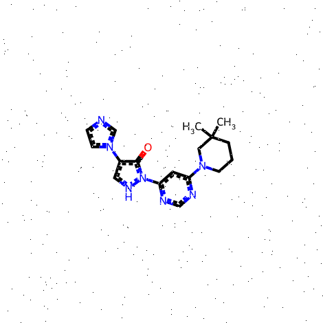 CC1(C)CCCN(c2cc(-n3[nH]cc(-n4ccnc4)c3=O)ncn2)C1